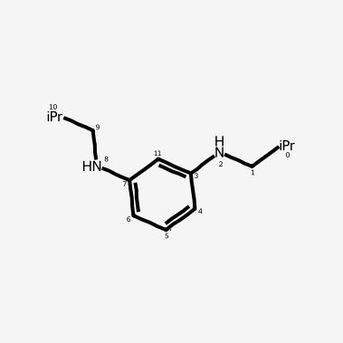 CC(C)CNc1c[c]cc(NCC(C)C)c1